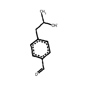 CC(O)Cc1ccc(C=O)cc1